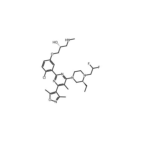 CC[C@H]1CN(c2nc(-c3cc(OC[C@H](O)CNC)ccc3Cl)nc(-c3c(C)noc3C)c2C)CCN1CC(F)F